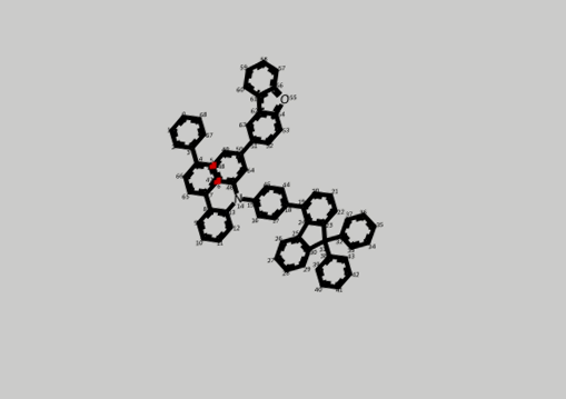 c1ccc(-c2ccc(-c3ccccc3N(c3ccc(-c4cccc5c4-c4ccccc4C5(c4ccccc4)c4ccccc4)cc3)c3cccc(-c4ccc5oc6ccccc6c5c4)c3)cc2)cc1